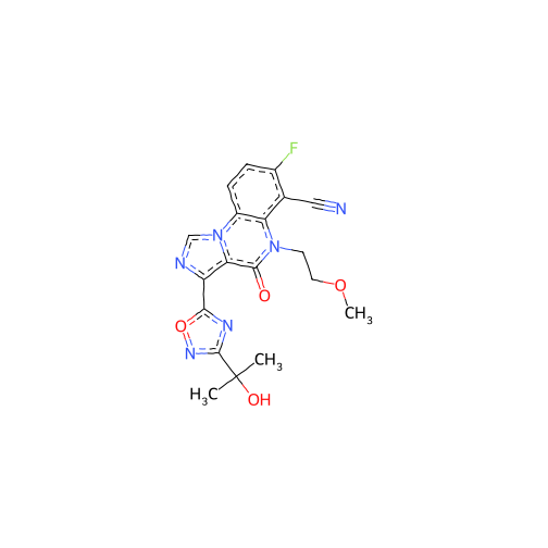 COCCn1c(=O)c2c(-c3nc(C(C)(C)O)no3)ncn2c2ccc(F)c(C#N)c21